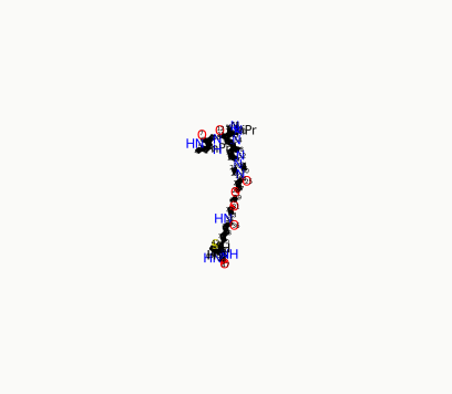 CCCc1cc(C)[nH]c(=O)c1CNC(=O)c1cc(-c2ccc(N3CCN(C(=O)CCOCCOCCNC(=O)CCCC[C@@H]4SC[C@@H]5NC(=O)N[C@@H]54)CC3)nc2)nc2c1cnn2C(C)C